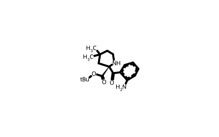 CC1(C)CCN[C@](C(=O)OC(C)(C)C)(C(=O)c2ccccc2N)C1